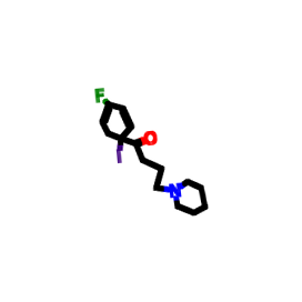 O=C(CCCN1CCCCC1)C1(I)C=CC(F)=CC1